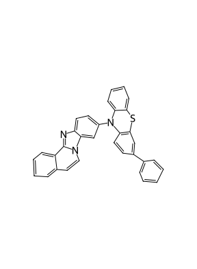 c1ccc(-c2ccc3c(c2)Sc2ccccc2N3c2ccc3nc4c5ccccc5ccn4c3c2)cc1